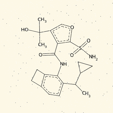 CC(c1ccc2c(c1NC(=O)c1c(C(C)(C)O)coc1S(N)(=O)=O)CC2)C1CC1